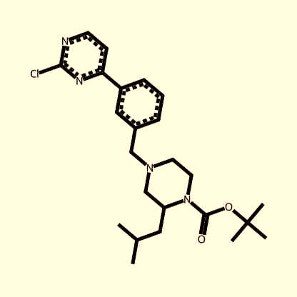 CC(C)CC1CN(Cc2cccc(-c3ccnc(Cl)n3)c2)CCN1C(=O)OC(C)(C)C